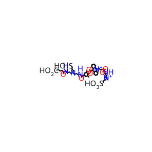 Cc1cc(C(=O)NCCCN(CCCNC(=O)CCCC(=O)O)CCCS(=O)(=O)O)cc(C)c1OC(=O)c1c2ccccc2[n+](CCCS(=O)(=O)NCC[N+](C)(C)CCCS(=O)(=O)O)c2ccccc12